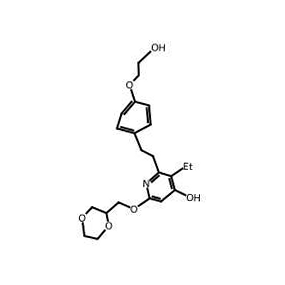 CCc1c(O)cc(OCC2COCCO2)nc1CCc1ccc(OCCO)cc1